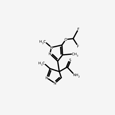 CC1=NN=CC1(C(N)=S)c1nn(C)c(OC(F)F)c1C